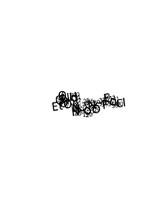 CCOS(=O)(=O)NC(=O)c1ccccc1Cn1cc(-c2cccc3c2CCCN3C(=O)CCCC(F)(F)c2ccc(Cl)cc2)cn1